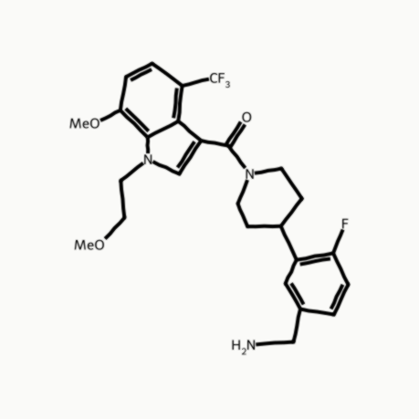 COCCn1cc(C(=O)N2CCC(c3cc(CN)ccc3F)CC2)c2c(C(F)(F)F)ccc(OC)c21